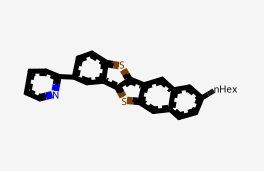 CCCCCCc1ccc2cc3sc4c5cc(-c6ccccn6)ccc5sc4c3cc2c1